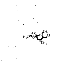 CCOC(C)(I)C[C@@H](C)C(CCl)OC